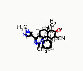 Cc1nc(-c2cnn(C)c2)c2c(n1)[C@@]1(c3ccccc3)CC(C#N)C(=O)[C@@H](C)[C@@H]1CC2